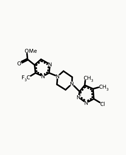 COC(=O)c1cnc(N2CCN(c3nnc(Cl)c(C)c3C)CC2)nc1C(F)(F)F